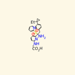 CCC1(c2ccc(CC(N)(c3cccc(NCC(=O)O)n3)S(=O)(=O)c3ccccn3)cc2)CC1